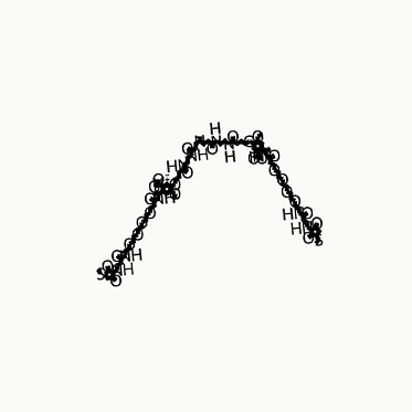 COc1cc(C(C)NC(=O)CCOCCOCCOCCOCCNC(=O)CCNC2C(=O)CC(SC)C2=O)c([N+](=O)[O-])cc1OCCCC(=O)NCCNC(=O)CCN(C)CCC(=O)NCCNC(=O)CCCOc1cc([N+](=O)[O-])c(C(C)NC(=O)CCOCCOCCOCCOCCNC(=O)CCNC2C(=O)CC(SC)C2=O)cc1OC